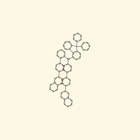 c1ccc(C2(c3ccccc3)c3ccccc3-c3c(N(c4ccc(-c5ccc(-c6ccc7ccccc7c6)cc5)cc4)c4ccccc4-c4ccc(-c5ccc6ccccc6c5)cc4)cccc32)cc1